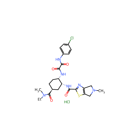 CCN(C)C(=O)[C@H]1CC[C@H](NC(=O)C(=O)Nc2ccc(Cl)cc2)[C@H](NC(=O)c2nc3c(s2)CN(C)C3)C1.Cl